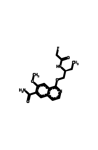 CC[C@@H](COc1nccc2cc(C(N)=O)c(OC)cc12)NC(=O)CF